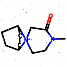 CN1CC[N+]2(CC1=O)C1CCC2CC1